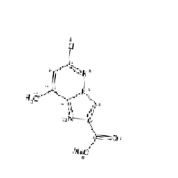 COC(=O)c1cn2nc(Cl)cc(C)c2n1